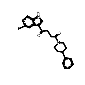 O=C(CCC(=O)N1CCC(c2ccccc2)CC1)c1c[nH]c2ccc(F)cc12